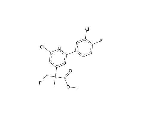 COC(=O)C(C)(CF)c1cc(Cl)nc(-c2ccc(F)c(Cl)c2)c1